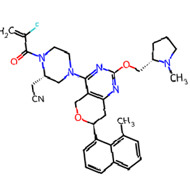 C=C(F)C(=O)N1CCN(c2nc(OC[C@@H]3CCCN3C)nc3c2CO[C@H](c2cccc4cccc(C)c24)C3)C[C@@H]1CC#N